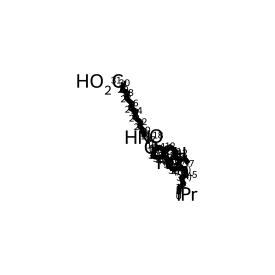 CC(C)CCC[C@@H](C)[C@H]1CC[C@H]2[C@@H]3CC=C4C[C@@H](OC(=O)NCCCCCCCCCCCC(=O)O)CC[C@]4(C)[C@H]3CC[C@]12C